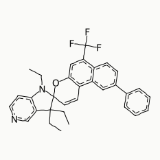 CCN1c2ccncc2C(CC)(CC)C12C=Cc1c(cc(C(F)(F)F)c3ccc(-c4ccccc4)cc13)O2